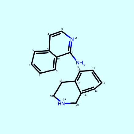 Nc1nccc2ccccc12.c1ccc2c(c1)CCNC2